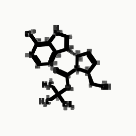 CC(C)(C)OC(=O)N1[C@H](CO)C=C[C@H]1c1c[nH]c2c(Cl)ncnc12